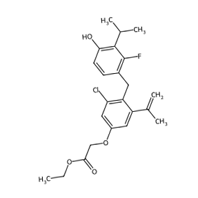 C=C(C)c1cc(OCC(=O)OCC)cc(Cl)c1Cc1ccc(O)c(C(C)C)c1F